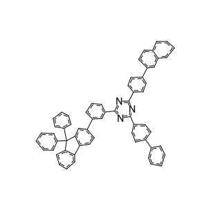 c1ccc(-c2ccc(-c3nc(-c4ccc(-c5ccc6ccccc6c5)cc4)nc(-c4cccc(-c5ccc6c(c5)C(c5ccccc5)(c5ccccc5)c5ccccc5-6)c4)n3)cc2)cc1